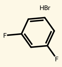 Br.Fc1cccc(F)c1